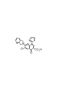 O=C(O)c1cn(-c2cnccn2)c2nc(N3Cc4cccnc4C3)c(Cl)cc2c1=O